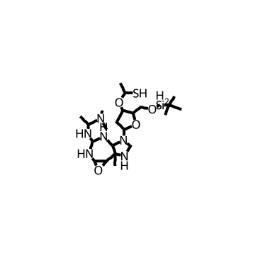 CC(S)OC1CC(N2CNC3(C)C4OC4NC(NC(C)N(C)C)NC23)OC1CO[SiH2]C(C)(C)C